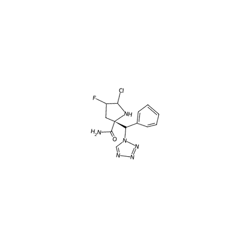 NC(=O)[C@]1(C(c2ccccc2)n2cnnn2)CC(F)C(Cl)N1